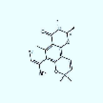 CCC/C(=C/C(C)=O)c1c(C)c2c(c3c1OC(C)(C)C=C3)O[C@H](C)[C@@H](C)C2=O